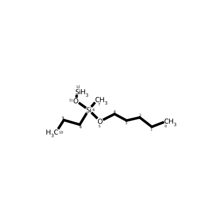 CCCCCO[Si](C)(CCC)O[SiH3]